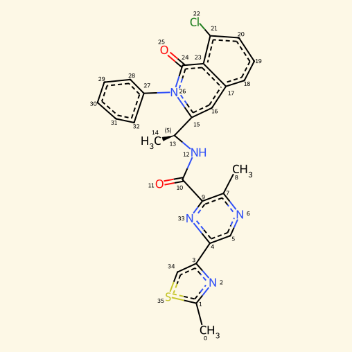 Cc1nc(-c2cnc(C)c(C(=O)N[C@@H](C)c3cc4cccc(Cl)c4c(=O)n3-c3ccccc3)n2)cs1